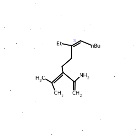 C=C(N)C(CC/C(=C\CCCC)CC)=C(C)C